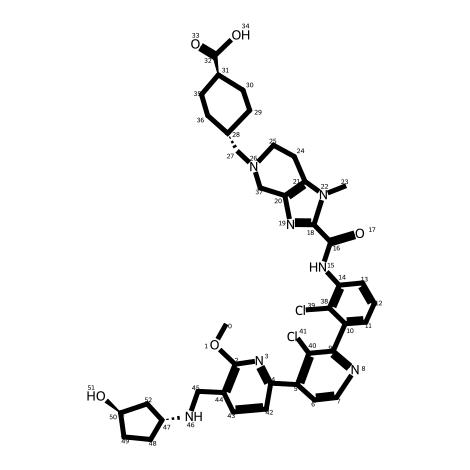 COc1nc(-c2ccnc(-c3cccc(NC(=O)c4nc5c(n4C)CCN(C[C@H]4CC[C@H](C(=O)O)CC4)C5)c3Cl)c2Cl)ccc1CN[C@@H]1CC[C@@H](O)C1